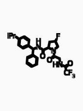 CC(C)c1ccc(C(NC(=O)C2CC(F)CN2C(=O)CNC(=O)C(F)(F)F)c2ccccc2)cc1